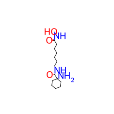 NC1(C(=O)NCCCCCCC(=O)NO)CCCCC1